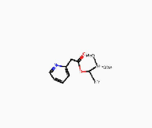 CCCC(OC(=O)Cc1ccccn1)[SiH](OC)OC